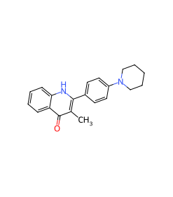 Cc1c(-c2ccc(N3CCCCC3)cc2)[nH]c2ccccc2c1=O